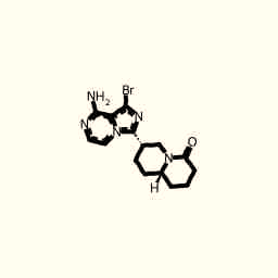 Nc1nccn2c([C@H]3CC[C@H]4CCCC(=O)N4C3)nc(Br)c12